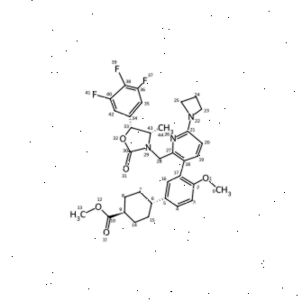 COc1ccc([C@H]2CC[C@H](C(=O)OC)CC2)cc1-c1ccc(N2CCC2)nc1CN1C(=O)O[C@H](c2cc(F)c(F)c(F)c2)[C@@H]1C